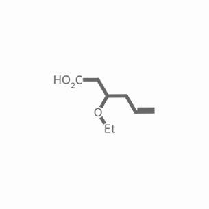 C=CCC(CC(=O)O)OCC